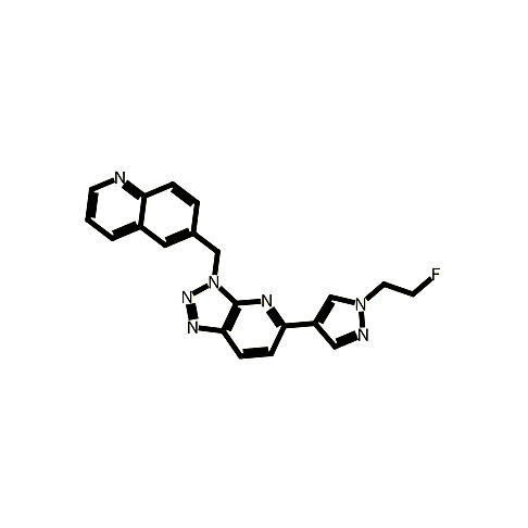 FCCn1cc(-c2ccc3nnn(Cc4ccc5ncccc5c4)c3n2)cn1